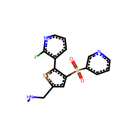 CNCc1cc(S(=O)(=O)c2cccnc2)c(-c2cccnc2F)s1